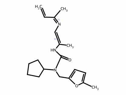 C=C/C(C)=N\C=C(/C)NC(=O)N(Cc1ccc(C)o1)C1CCCC1